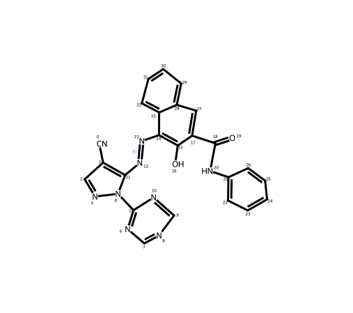 N#Cc1cnn(-c2ncncn2)c1/N=N/c1c(O)c(C(=O)Nc2ccccc2)cc2ccccc12